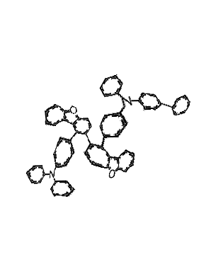 c1ccc(-c2ccc(N(c3ccccc3)c3ccc(-c4c(-c5ccc6oc7ccccc7c6c5-c5ccc(N(c6ccccc6)c6ccccc6)cc5)ccc5oc6ccccc6c45)cc3)cc2)cc1